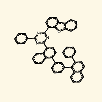 c1ccc(-c2nc(-c3ccc(-c4cccc(-c5c(-c6ccccc6)ccc6ccccc56)c4)c4ccccc34)nc(-c3cccc4c3oc3ccccc34)n2)cc1